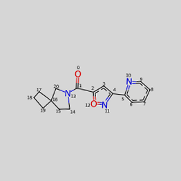 O=C(c1cc(-c2ccccn2)no1)N1CCC2(CCC2)C1